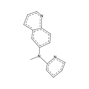 CN(c1ccc2ncccc2c1)c1ccccn1